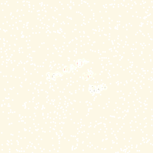 [Ga+3].[O-2].[O-2].[O-2].[Sc+3]